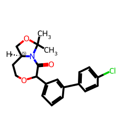 CC1(C)OC[C@@H]2CCOC(c3cccc(-c4ccc(Cl)cc4)c3)C(=O)N21